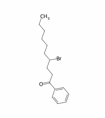 CCCCCCC(Br)CCC(=O)c1ccccc1